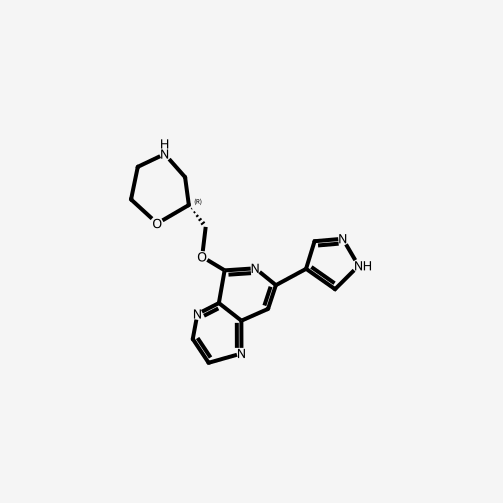 c1cnc2c(OC[C@H]3CNCCO3)nc(-c3cn[nH]c3)cc2n1